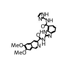 COc1cc2cnc(C(=O)Nc3nc4cccc(C(=O)Nc5ncc[nH]5)c4[nH]3)cc2cc1OC